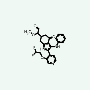 COC(C=O)C1CC(=O)c2c([nH]c(-c3ccncc3OCC(F)F)c2Nc2ccccc2)C1